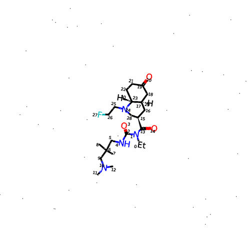 CCN(C(=O)NCC(C)(C)CN(C)C)C(=O)[C@@H]1C[C@@H]2CC(=O)CC[C@H]2N(CCF)C1